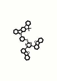 CC1(C)c2ccccc2-c2cc3c4ccccc4n(-c4cccc(Sc5nc(-c6cccc7c6oc6ccccc67)cc(-c6cccc7c6oc6ccccc67)n5)c4)c3cc21